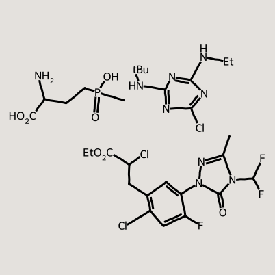 CCNc1nc(Cl)nc(NC(C)(C)C)n1.CCOC(=O)C(Cl)Cc1cc(-n2nc(C)n(C(F)F)c2=O)c(F)cc1Cl.CP(=O)(O)CCC(N)C(=O)O